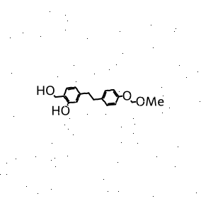 COCOc1ccc(CCc2ccc(CO)c(O)c2)cc1